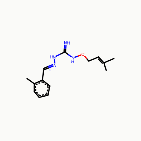 CC(C)=CCONC(=N)N/N=C/c1ccccc1C